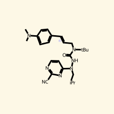 CC(C)CN(NC(=O)N(C/C=C/c1ccc(N(C)C)cc1)C(C)(C)C)c1ccnc(C#N)n1